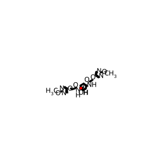 COc1ncc(OCC(=O)NC23CCC(NC(=O)COc4cnc(OC)nc4)(CC2)[C@@H](O)C3)cn1